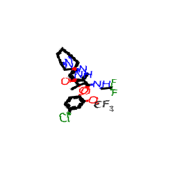 CC(C)(Oc1ccc(Cl)cc1OC(F)(F)F)C(=O)NC1CC2CCC(C1)N2c1ccc(C(=O)NCC(F)F)cn1